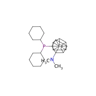 CN(C)[C]12[CH]3[CH]4[CH]5[C]1(P(C1CCCCC1)C1CCCCC1)[Fe]43521678[CH]2[CH]1[CH]6[CH]7[CH]28